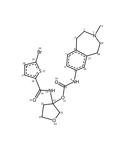 CN1CCc2ccc(NC(=O)OC3(NC(=O)c4ccc(Br)s4)CCOC3)cc2CC1